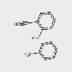 C#Cc1ccccc1C=O.Cc1ccccc1